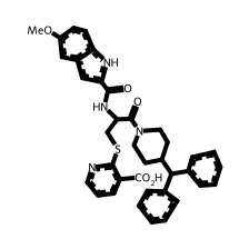 COc1ccc2[nH]c(C(=O)NC(CSc3ncccc3C(=O)O)C(=O)N3CCC(C(c4ccccc4)c4ccccc4)CC3)cc2c1